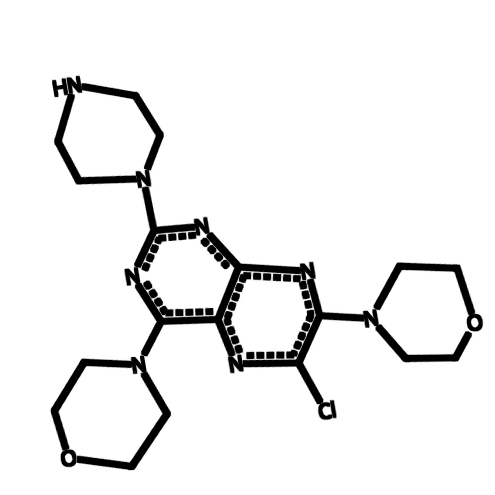 Clc1nc2c(N3CCOCC3)nc(N3CCNCC3)nc2nc1N1CCOCC1